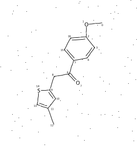 COc1ccc(C(=O)Cc2cc(C)cs2)cc1